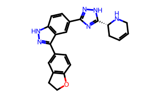 C1=CC[C@H](c2nc(-c3ccc4[nH]nc(-c5ccc6c(c5)CCO6)c4c3)n[nH]2)NC1